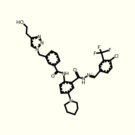 O=C(Nc1ccc(N2CCCCC2)cc1C(=O)N/N=C/c1ccc(Cl)c(C(F)(F)F)c1)c1cccc(Cn2cc(CCO)nn2)c1